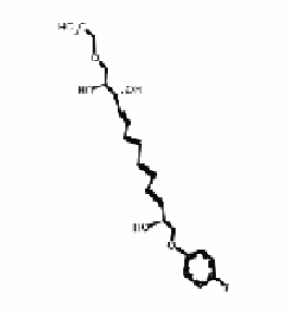 O=C(O)COC[C@H](O)[C@H](O)C=CC=CC=CC=C[C@H](O)COc1ccc(F)cc1